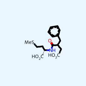 CSCC[C@H](NC(=O)C(CC(=O)O)Cc1ccccc1)C(=O)O